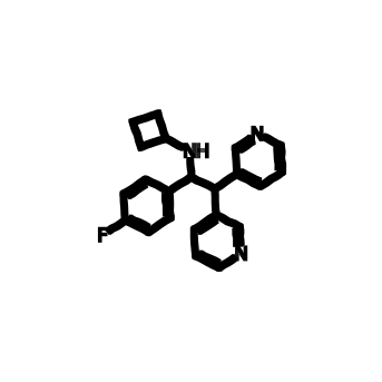 Fc1ccc(C(NC2CCC2)C(c2cccnc2)c2cccnc2)cc1